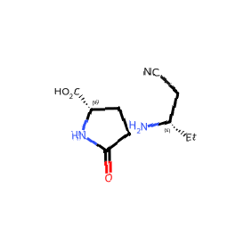 CC[C@H](N)CC#N.O=C1CC[C@@H](C(=O)O)N1